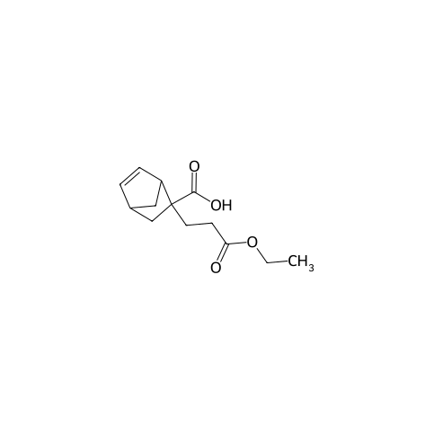 CCOC(=O)CCC1(C(=O)O)CC2C=CC1C2